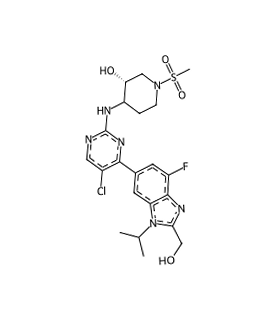 CC(C)n1c(CO)nc2c(F)cc(-c3nc(NC4CCN(S(C)(=O)=O)C[C@H]4O)ncc3Cl)cc21